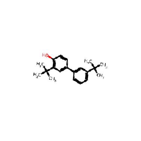 CC(C)(C)c1cccc(-c2ccc(O)c(C(C)(C)C)c2)c1